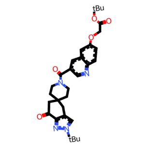 CC(C)(C)OC(=O)COc1ccc2ncc(C(=O)N3CCC4(CC3)CC(=O)c3nn(C(C)(C)C)cc3C4)cc2c1